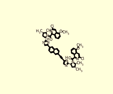 COc1cccc2c(C(=O)N3[C@H](C)[C@H](C)C[C@H]3c3ncc(C#Cc4ccc5cc(-c6cnc([C@@H]7C[C@@H](C)[C@@H](C)N7C(=O)c7nc(Cl)cc8c(OC)cccc78)[nH]6)ccc5c4)[nH]3)nc(Cl)cc12